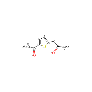 COC(=O)Cc1ccc(C(=O)OC)s1